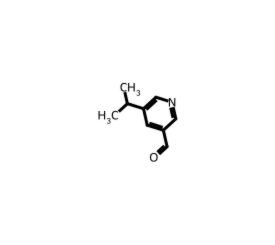 CC(C)c1cncc(C=O)c1